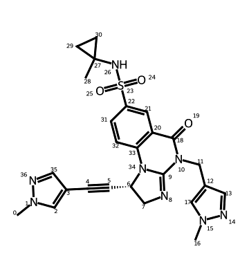 Cn1cc(C#C[C@H]2CN=C3N(Cc4cnn(C)c4)C(=O)c4cc(S(=O)(=O)NC5(C)CC5)ccc4N32)cn1